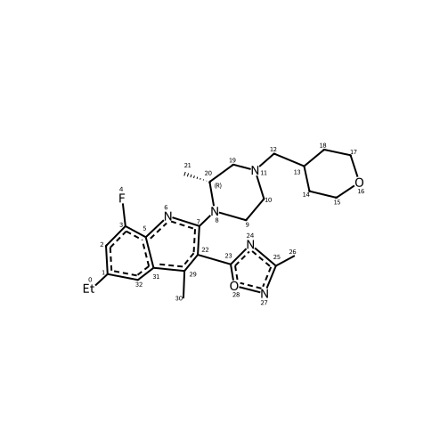 CCc1cc(F)c2nc(N3CCN(CC4CCOCC4)C[C@H]3C)c(-c3nc(C)no3)c(C)c2c1